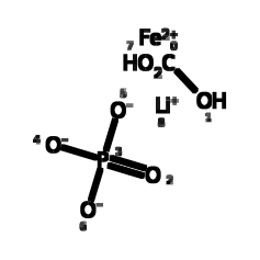 O=C(O)O.O=P([O-])([O-])[O-].[Fe+2].[Li+]